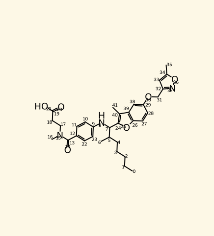 CCCCCC(C)C(Nc1ccc(C(=O)N(C)CCC(=O)O)cc1)c1oc2ccc(OCc3cc(C)on3)cc2c1C